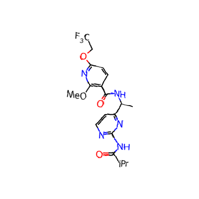 COc1nc(OCC(F)(F)F)ccc1C(=O)NC(C)c1ccnc(NC(=O)C(C)C)n1